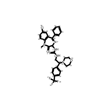 CN1C(=O)C(NC(=S)NCC(c2ccc(C(F)(F)F)cc2)N2CCOCC2)N=C(c2ccccc2)c2cc(Cl)ccc21